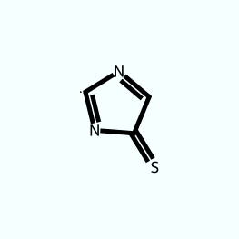 S=C1C=N[C]=N1